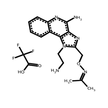 CC(C)=NOCc1nc2c(N)nc3ccccc3c2n1CCN.O=C(O)C(F)(F)F